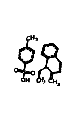 C=CC1C(=C)C=Cc2ccccc21.Cc1ccc(S(=O)(=O)O)cc1